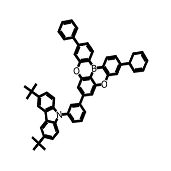 CC(C)(C)c1ccc2c(c1)c1cc(C(C)(C)C)ccc1n2-c1cccc(-c2cc3c4c(c2)Oc2cc(C5C=CC=CC5)ccc2B4c2ccc(-c4ccccc4)cc2O3)c1